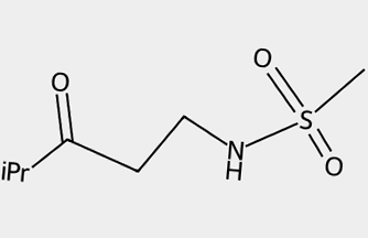 CC(C)C(=O)CCNS(C)(=O)=O